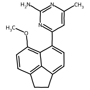 COc1ccc2c3c(ccc(-c4cc(C)nc(N)n4)c13)CC2